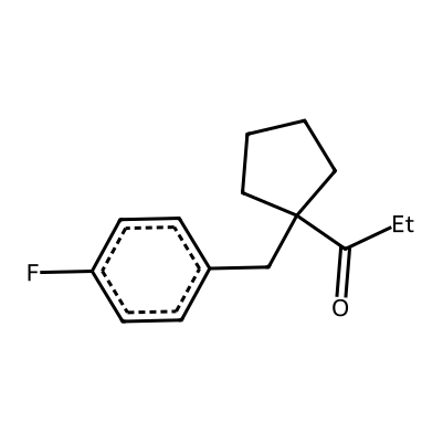 CCC(=O)C1(Cc2ccc(F)cc2)CCCC1